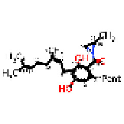 CCCCCc1cc(O)c(CC=C(C)CCC=C(C)C)c(O)c1C(=O)N1C[C@H]1C